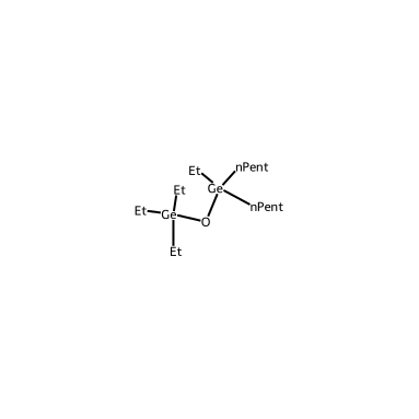 CCCC[CH2][Ge]([CH2]C)([CH2]CCCC)[O][Ge]([CH2]C)([CH2]C)[CH2]C